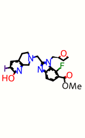 COC(=O)c1ccc2nc(CN3CCc4cc(I)c(O)nc4C3)n(C[C@@H]3CCO3)c2c1F